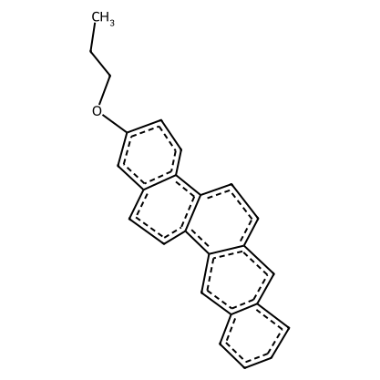 CCCOc1ccc2c(ccc3c4cc5ccccc5cc4ccc23)c1